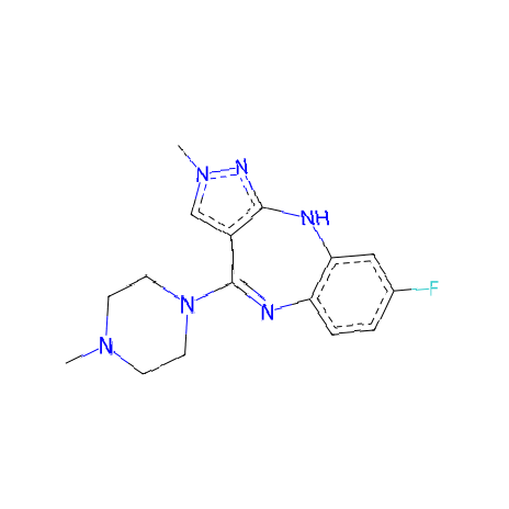 CN1CCN(C2=Nc3ccc(F)cc3Nc3nn(C)cc32)CC1